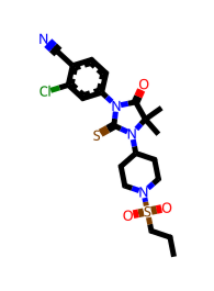 CCCS(=O)(=O)N1CCC(N2C(=S)N(c3ccc(C#N)c(Cl)c3)C(=O)C2(C)C)CC1